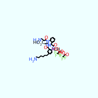 CN1C(=O)C(c2ccccc2NC(=O)CCN)N(CCC(=O)O)C(=O)c2cc(CCCCCCN)ccc21.O=C(O)C(F)(F)F.O=C(O)C(F)(F)F